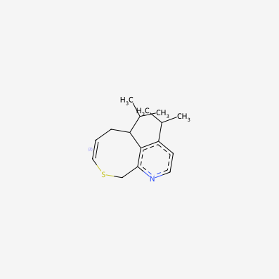 CC(C)c1ccnc2c1C(C(C)C)C/C=C\SC2